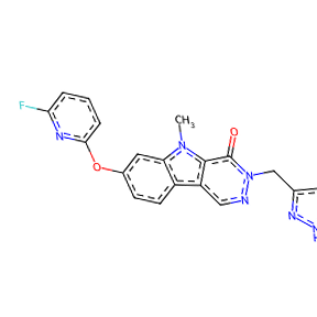 Cn1c2cc(Oc3cccc(F)n3)ccc2c2cnn(Cc3cc[nH]n3)c(=O)c21